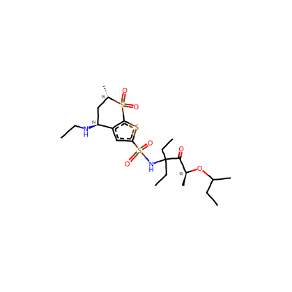 CCN[C@H]1C[C@H](C)S(=O)(=O)c2sc(S(=O)(=O)NC(CC)(CC)C(=O)[C@H](C)OC(C)CC)cc21